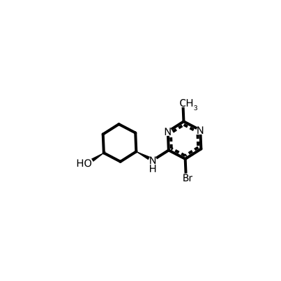 Cc1ncc(Br)c(N[C@@H]2CCC[C@H](O)C2)n1